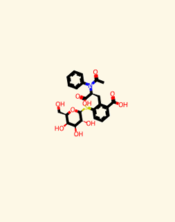 CC(=O)N(c1ccccc1)[C@@H](Cc1c(S[C@@H]2O[C@H](CO)[C@H](O)[C@H](O)[C@H]2O)cccc1C(=O)O)C(=O)O